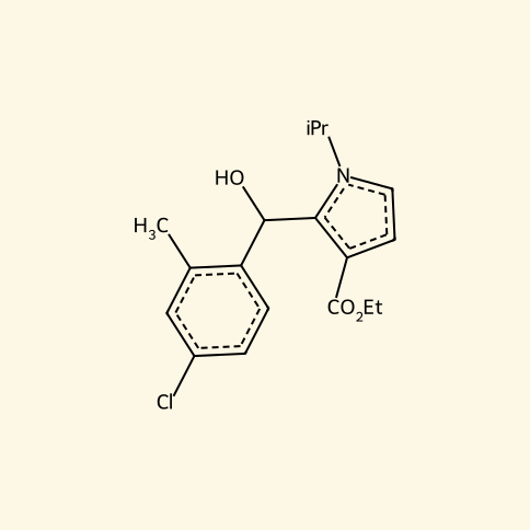 CCOC(=O)c1ccn(C(C)C)c1C(O)c1ccc(Cl)cc1C